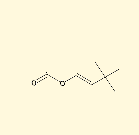 CC(C)(C)C=CO[C]=O